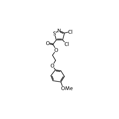 COc1ccc(OCCOC(=O)c2snc(Cl)c2Cl)cc1